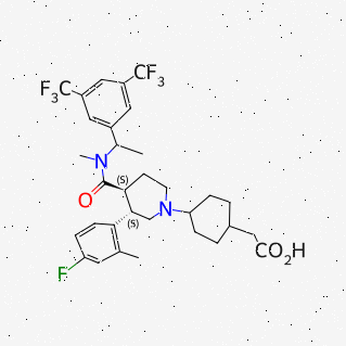 Cc1cc(F)ccc1[C@H]1CN(C2CCC(CC(=O)O)CC2)CC[C@@H]1C(=O)N(C)C(C)c1cc(C(F)(F)F)cc(C(F)(F)F)c1